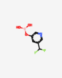 OB(O)Oc1cncc(C(F)F)c1